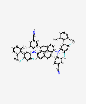 Cc1cccc(C)c1-c1cc(N(c2ccc(C#N)cc2)c2ccc3ccc4c(N(c5ccc(C#N)cc5)c5cc(-c6c(C)cccc6C)c(F)cc5F)ccc5ccc2c3c54)c(F)cc1F